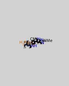 C=C(Nc1ccc(C#N)c(-c2cc3cnc(NC)nc3nc2C)c1)/C(=C/C(=C\C)C(C)(P)P)CC